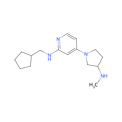 CNC1CCN(c2ccnc(NCC3CCCC3)c2)C1